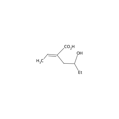 C/C=C(\CC(O)CC)C(=O)O